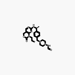 C[C@H](Nc1ncc2c(n1)N(CCF)C(=O)OC2)c1ccc(CN2CCN(BC=O)CC2)cc1